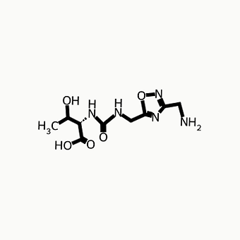 CC(O)[C@H](NC(=O)NCc1nc(CN)no1)C(=O)O